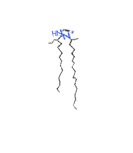 CCCCCCCCCCCCCCCCC(C)[n+]1cc[nH]c1C(CCC)CCCCCCCCCCC